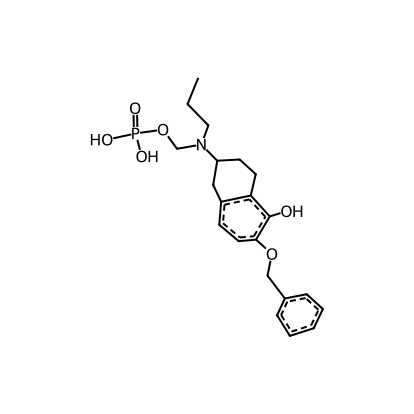 CCCN(COP(=O)(O)O)C1CCc2c(ccc(OCc3ccccc3)c2O)C1